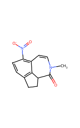 CN1C=Cc2c([N+](=O)[O-])ccc3c2C(CC3)C1=O